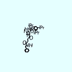 CC(C)c1cc(C(C)C)c(S(=O)(=O)NC2CN(C(=O)CCC(=O)NCc3ccccc3)CC2F)c(C(C)C)c1